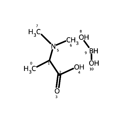 CC(C(=O)O)N(C)C.OBO